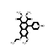 CCOc1cc2cc(C(=O)OC)c(C(=O)OC)c(-c3cc[n+]([O-])cc3)c2cc1OC